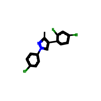 Cc1nn(-c2ccc(Cl)cc2)[c]c1-c1ccc(Cl)cc1F